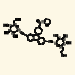 O=C([C@@H]1CCCO1)N1CCC2(CC1)c1cc(C#C[C@H]3O[C@H](CO)[C@@H](O)[C@H](O)[C@@H]3O)ccc1-c1ccc(C#C[C@H]3O[C@H](CCO)[C@@H](O)[C@H](O)[C@@H]3O)cc12